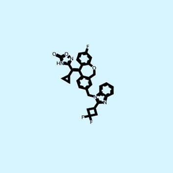 O=c1[nH]c(/C(=C2/c3ccc(Cn4c(C5CC(F)(F)C5)nc5ccccc54)cc3COc3cc(F)ccc32)C2CC2)no1